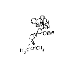 COc1cc(N2CCCC(N3CC(C)OC(C)C3)C2)ccc1Nc1ncc2ccc(-c3ccccc3OC)n2n1